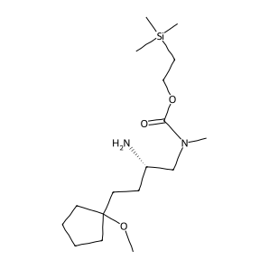 COC1(CC[C@H](N)CN(C)C(=O)OCC[Si](C)(C)C)CCCC1